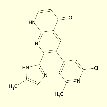 Cc1cc(-c2cc3c(=O)cc[nH]c3nc2-c2ncc(C)[nH]2)cc(Cl)n1